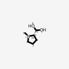 CN1CCC[C@H]1C(O)O